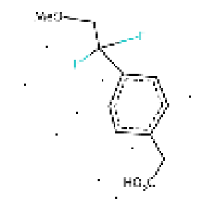 COCC(F)(F)c1ccc(CC(=O)O)cc1